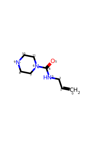 C=CCNC(=O)N1CC[N]CC1